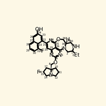 CCC1CN2c3nc(OC[C@@]45CCCN4C[C@H](F)C5)nc4cc(-c5cc(O)cc6cccc(F)c56)nc(c34)OC[C@@H]2CN1